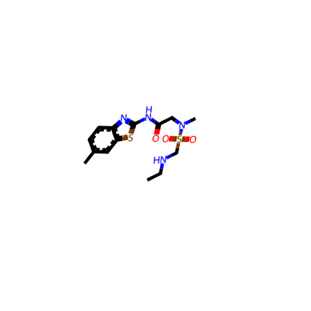 CCNCS(=O)(=O)N(C)CC(=O)Nc1nc2ccc(C)cc2s1